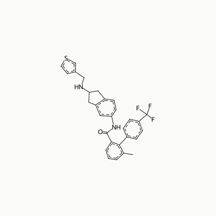 Cc1cccc(C(=O)Nc2ccc3c(c2)CC(NCc2ccsc2)C3)c1-c1ccc(C(F)(F)F)cc1